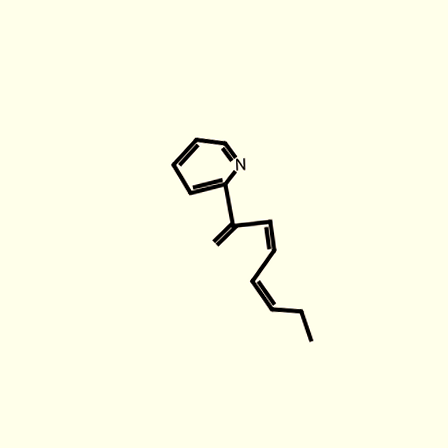 C=C(/C=C\C=C/CC)c1ccccn1